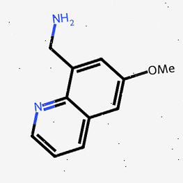 COc1cc(CN)c2ncccc2c1